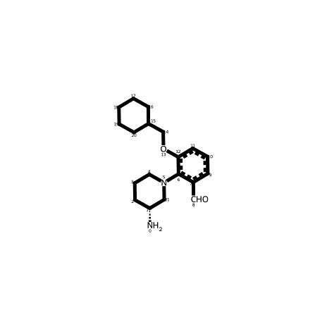 N[C@@H]1CCCN(c2c(C=O)cccc2OCC2CCCCC2)C1